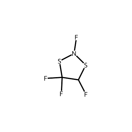 FC1SN(F)SC1(F)F